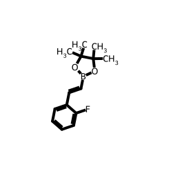 CC1(C)OB(/C=C/c2ccccc2F)OC1(C)C